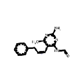 Cc1nc(N)nc(NC=O)c1/C=C\Cc1ccccc1